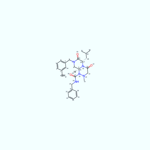 Bc1cccc(CN2C[C@H]3N(C(=O)CN(C)N3C(=O)NCc3ccccc3)[C@@H](CC(C)C)C2=O)c1